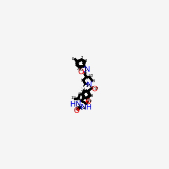 Cc1ccc2nc(C3CCN(C(=O)c4ccc([C@@]5(C(C)C)NC(=O)NC5=O)cc4)CC3)oc2c1